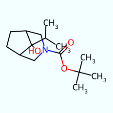 CC(C)C1(O)C2CCC1CN(C(=O)OC(C)(C)C)C2